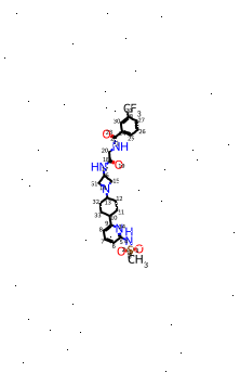 CS(=O)(=O)Nc1cccc(C2CCC(N3CC(NC(=O)CNC(=O)c4cccc(C(F)(F)F)c4)C3)CC2)n1